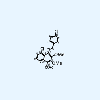 COc1c(OC)c(OCc2ccc(Cl)cc2)c2c(Cl)cccc2c1OC(C)=O